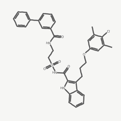 Cc1cc(OCCCc2c(C(=O)NS(=O)(=O)CCNC(=O)c3cccc(-c4ccccc4)c3)[nH]c3ccccc23)cc(C)c1Cl